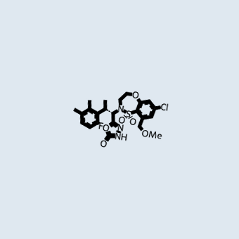 COCc1cc(Cl)cc2c1S(=O)(=O)N([C@H](c1n[nH]c(=O)o1)C(C)c1c(F)ccc(C)c1C)CCO2